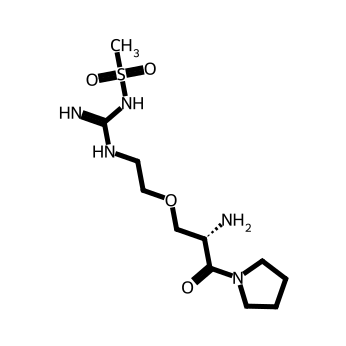 CS(=O)(=O)NC(=N)NCCOC[C@H](N)C(=O)N1CCCC1